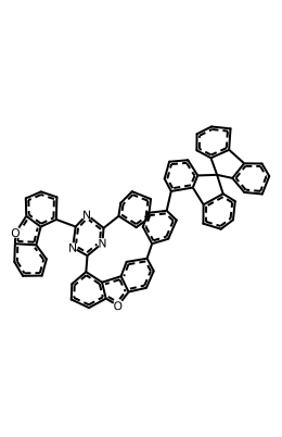 c1ccc(-c2nc(-c3cccc4oc5ccccc5c34)nc(-c3cccc4oc5ccc(-c6ccc(-c7cccc8c7-c7ccccc7C87c8ccccc8-c8ccccc87)cc6)cc5c34)n2)cc1